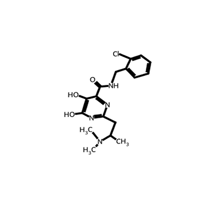 CC(Cc1nc(O)c(O)c(C(=O)NCc2ccccc2Cl)n1)N(C)C